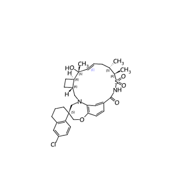 C[C@@H]1[C@@H](C)C/C=C/[C@@](C)(O)[C@@H]2CC[C@H]2CN2C[C@@]3(CCCc4cc(Cl)ccc43)COc3ccc(cc32)C(=O)NS1(=O)=O